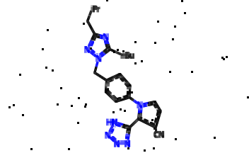 CCCCc1nc(CC(C)C)nn1Cc1ccc(-n2ccc(C#N)c2-c2nnn[nH]2)cc1